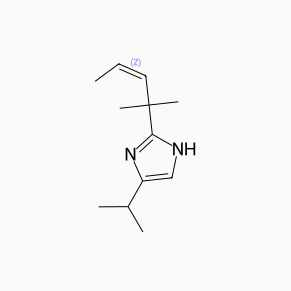 C/C=C\C(C)(C)c1nc(C(C)C)c[nH]1